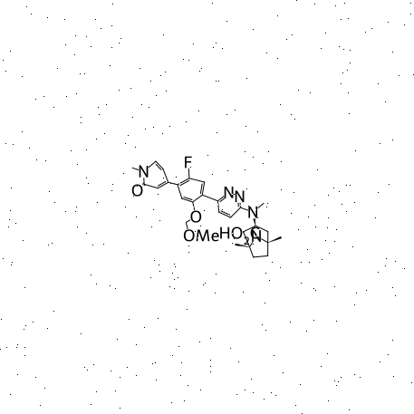 COCOc1cc(-c2ccn(C)c(=O)c2)c(F)cc1-c1ccc(N(C)[C@H]2C[C@]3(C)CC[C@](C)(C2)N3C(=O)O)nn1